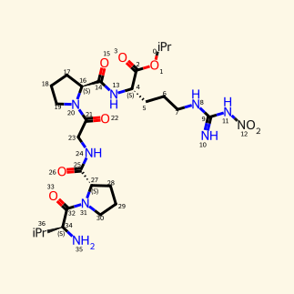 CC(C)OC(=O)[C@H](CCCNC(=N)N[N+](=O)[O-])NC(=O)[C@@H]1CCCN1C(=O)CNC(=O)[C@@H]1CCCN1C(=O)[C@@H](N)C(C)C